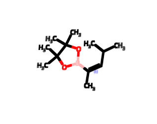 C/C(=C/C(C)C)B1OC(C)(C)C(C)(C)O1